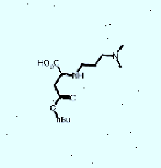 CCCCOC(=O)C[C@H](NCCCN(C)C)C(=O)O